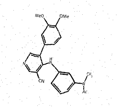 COc1ccc(-c2cncc(C#N)c2Nc2cccc(N(C)C(C)=O)c2)cc1OC